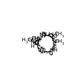 COc1ccc2cc1CN(C)CCCNC(=O)CN1CCN(CC1)Cc1cc(cc(NC(C)C)c1)Nc1nccc-2n1